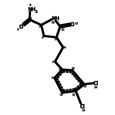 NC(=O)C1CC(CCc2ccc(Cl)c(Cl)c2)C(=O)N1